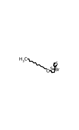 CCCCCCCCCCCCOC1=CCC(Br)(c2ccsc2)S1